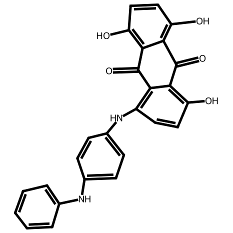 O=C1c2c(O)ccc(O)c2C(=O)c2c(Nc3ccc(Nc4ccccc4)cc3)ccc(O)c21